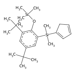 CC(C)(C)c1cc(C(C)(C)C)c(O[Si](C)(C)C)c([Si](C)(C)C2=CC=CC2)c1